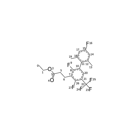 CCOC(=O)CCc1c(F)c(-c2c(C)cc(F)cc2C)cc(C(F)(F)F)c1F